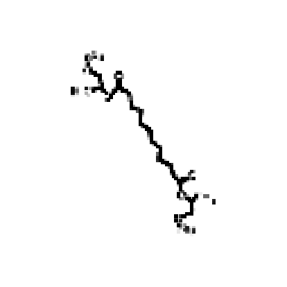 CCCCOCC(C)OC(=O)CCCCCCCCCCC(=O)OC(C)COCCCC